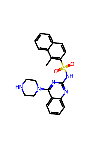 Cc1c(S(=O)(=O)Nc2nc(N3CCNCC3)c3ccccc3n2)ccc2ccccc12